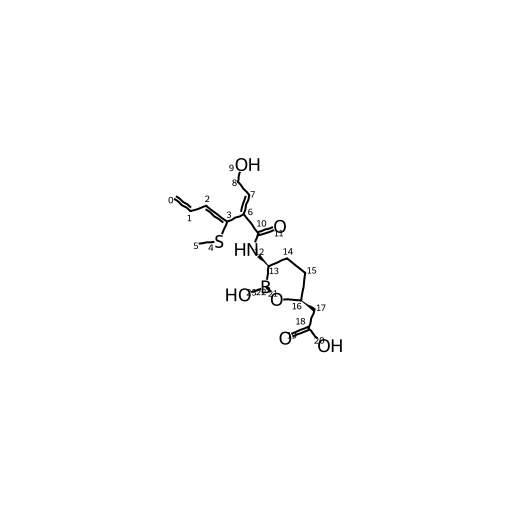 C=C/C=C(SC)/C(=C\CO)C(=O)N[C@H]1CC[C@@H](CC(=O)O)OB1O